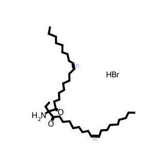 Br.CCCCCCCC/C=C\CCCCCCCC(=O)C(N)(CC)C(=O)CCCCCCC/C=C\CCCCCCCC